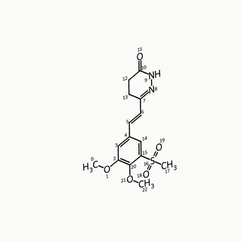 COc1cc(C=CC2=NNC(=O)CC2)cc(S(C)(=O)=O)c1OC